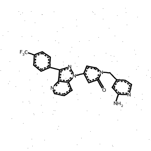 Nc1cc(Cn2ccc(-n3nc(-c4ccc(C(F)(F)F)cc4)c4ncccc43)cc2=O)ccn1